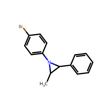 CC1C(c2ccccc2)N1c1ccc(Br)cc1